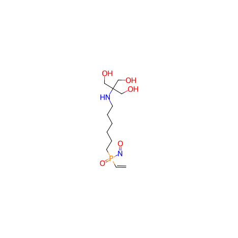 C=CP(=O)(CCCCCCNC(CO)(CO)CO)N=O